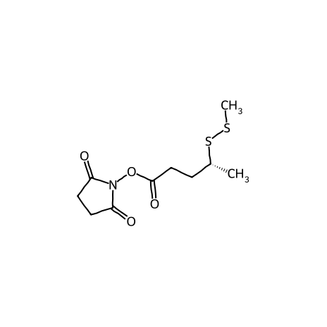 CSS[C@H](C)CCC(=O)ON1C(=O)CCC1=O